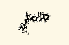 Cn1nc(-c2cc(C(F)(F)F)n(-c3ccc(NC(=O)c4c(F)cccc4F)nc3)n2)oc1=O